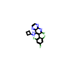 Fc1cc(F)c(-c2c(F)nc3nccnc3c2NC2CCC2)c(F)c1